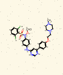 CN1CCN(CCOc2ccc(-c3cc(Nc4ccc(N(OC=O)S(=O)(=O)c5c(F)cccc5F)cc4)ncn3)cc2)CC1